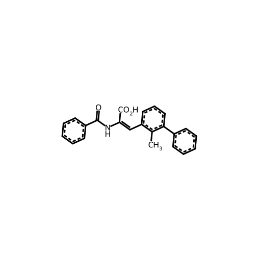 Cc1c(/C=C(/NC(=O)c2ccccc2)C(=O)O)cccc1-c1ccccc1